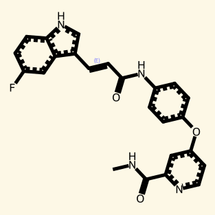 CNC(=O)c1cc(Oc2ccc(NC(=O)/C=C/c3c[nH]c4ccc(F)cc34)cc2)ccn1